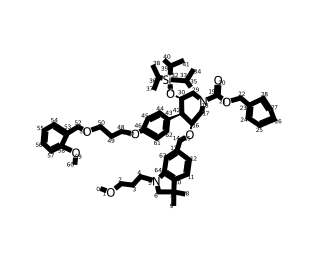 COCCCN1CC(C)(C)c2ccc(CO[C@H]3CN(C(=O)OCc4ccccc4)C[C@@H](O[Si](C(C)C)(C(C)C)C(C)C)[C@@H]3c3ccc(OCCCOCc4ccccc4OC)cc3)cc21